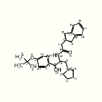 CC(C)(C)Oc1ccc(C(O)C(CN2CCCC2)NC(=O)CC2Cc3ccccc3C2)nc1